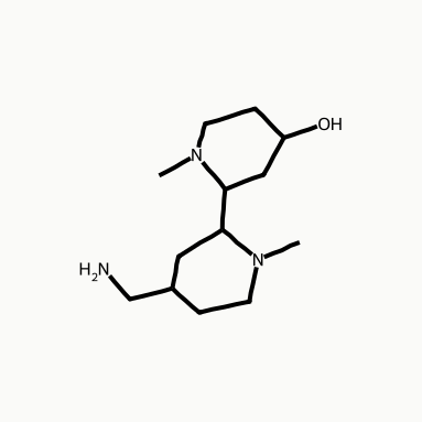 CN1CCC(O)CC1C1CC(CN)CCN1C